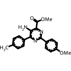 COC(=O)c1nc(-c2ccc(OC)cc2)nc(-c2ccc(C)cc2)c1N